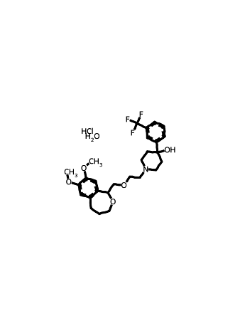 COc1cc2c(cc1OC)C(COCCN1CCC(O)(c3cccc(C(F)(F)F)c3)CC1)OCCC2.Cl.O